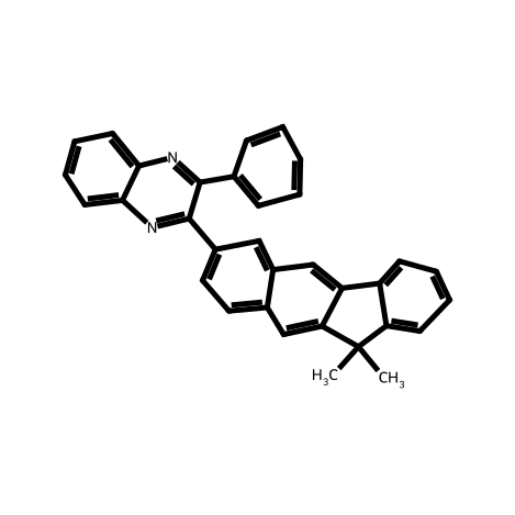 CC1(C)c2ccccc2-c2cc3cc(-c4nc5ccccc5nc4-c4ccccc4)ccc3cc21